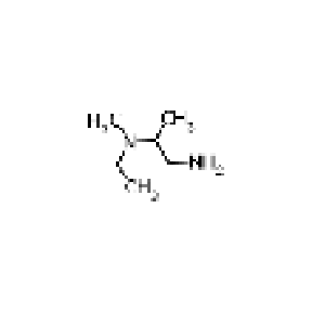 CCN(C)C(C)CN